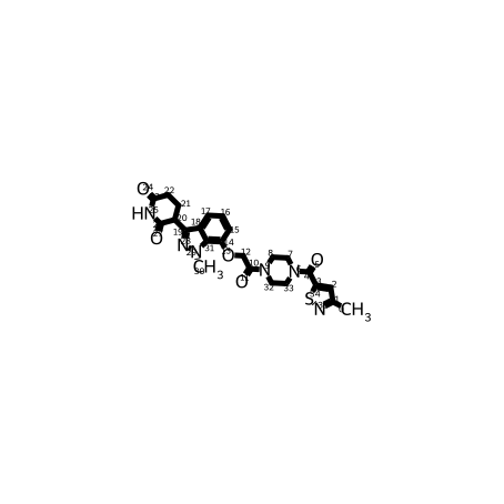 Cc1cc(C(=O)N2CCN(C(=O)COc3cccc4c(C5CCC(=O)NC5=O)nn(C)c34)CC2)sn1